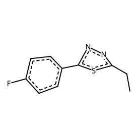 CCc1nnc(-c2ccc(F)cc2)s1